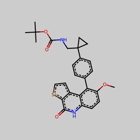 COc1ccc2[nH]c(=O)c3sccc3c2c1-c1ccc(C2(CNC(=O)OC(C)(C)C)CC2)cc1